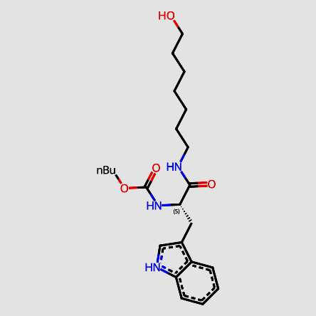 CCCCOC(=O)N[C@@H](Cc1c[nH]c2ccccc12)C(=O)NCCCCCCCO